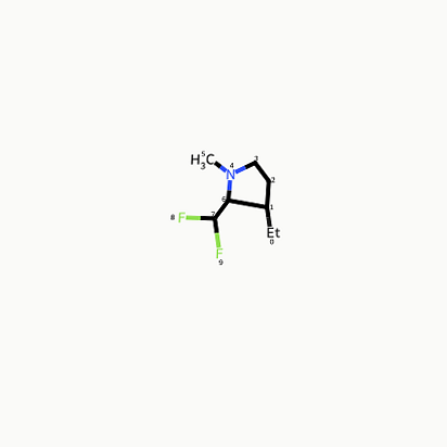 CCC1CCN(C)C1C(F)F